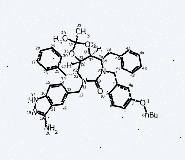 CCCCOc1cccc(CN2C(=O)N(Cc3ccc4[nH]nc(N)c4c3)[C@H](Cc3ccccc3)[C@@H]3OC(C)(C)O[C@H]3[C@H]2Cc2ccccc2)c1